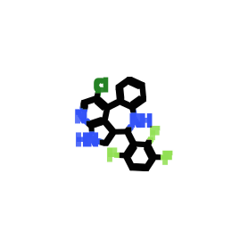 Fc1ccc(F)c(C2Nc3ccccc3-c3c(Cl)cnc4c3C2CN4)c1F